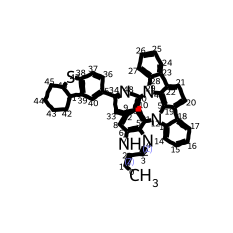 C/C=C\C=N/c1c(N)cccc1-n1c2ccccc2c2ccc3c4ccccc4n(-c4cccc(-c5ccc6c(c5)C5CCCCC5S6)n4)c3c21